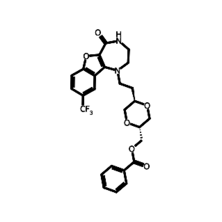 O=C(OC[C@H]1CO[C@H](CCN2CCNC(=O)c3oc4ccc(C(F)(F)F)cc4c32)CO1)c1ccccc1